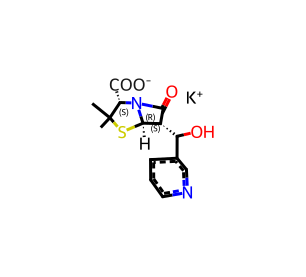 CC1(C)S[C@@H]2[C@@H](C(O)c3cccnc3)C(=O)N2[C@H]1C(=O)[O-].[K+]